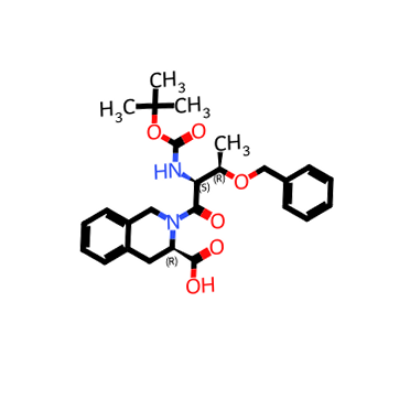 C[C@@H](OCc1ccccc1)[C@H](NC(=O)OC(C)(C)C)C(=O)N1Cc2ccccc2C[C@@H]1C(=O)O